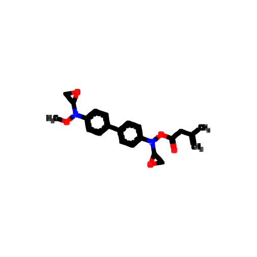 C=C(C)CC(=O)ON(c1ccc(-c2ccc(N(OC)C3CO3)cc2)cc1)C1CO1